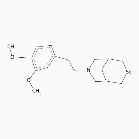 COc1ccc(CCN2CC3C[Se]CC(C3)C2)cc1OC